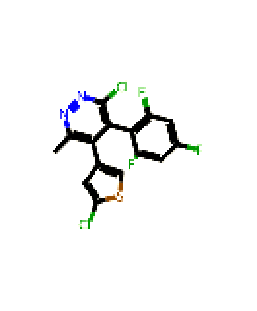 Cc1nnc(Cl)c(-c2c(F)cc(F)cc2F)c1-c1csc(Cl)c1